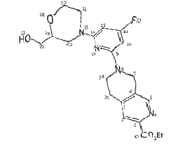 CCOC(=O)c1cc2c(cn1)CN(c1cc(F)cc(N3CCOC(CO)C3)n1)CC2